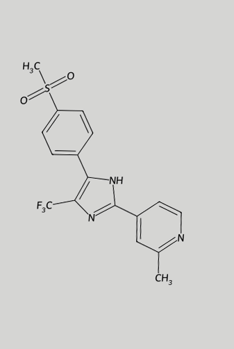 Cc1cc(-c2nc(C(F)(F)F)c(-c3ccc(S(C)(=O)=O)cc3)[nH]2)ccn1